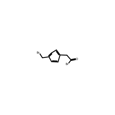 O=C(Br)Cc1ccc(CBr)cc1